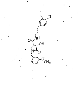 COc1cccc(CN2CC(C(=O)NCCCc3ccc(Cl)c(Cl)c3)=C(O)C2=O)c1